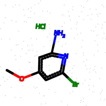 COc1cc(N)nc(Br)c1.Cl